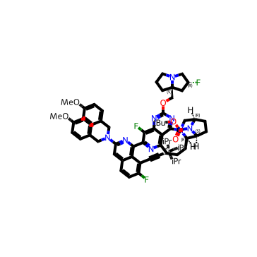 COc1ccc(CN(Cc2ccc(OC)cc2)c2cc3ccc(F)c(C#C[Si](C(C)C)(C(C)C)C(C)C)c3c(-c3nc4c5c(nc(OC[C@@]67CCCN6C[C@H](F)C7)nc5c3F)N3C[C@H]5CC[C@@H]([C@H]3CCC4)N5C(=O)OC(C)(C)C)n2)cc1